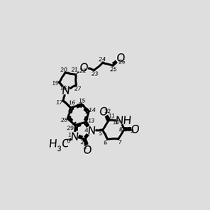 Cn1c(=O)n(C2CCC(=O)NC2=O)c2ccc(CN3CC[C@H](OCCC=O)C3)cc21